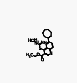 CCOC(=O)c1cnc2ccc(C3CCCCCC3)cc2c1SC(=N)N.Cl